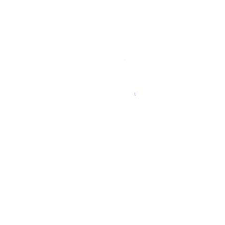 CCCCCCCCCCCC(CN)c1ccccc1.Cl